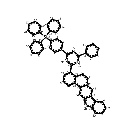 c1ccc(-c2nc(-c3ccc([Si](c4ccccc4)(c4ccccc4)c4ccccc4)cc3)nc(-c3cccc4c3ccc3cc5c(cc34)oc3ccccc35)n2)cc1